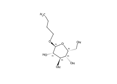 CCCCO[C@H]1O[C@H](CO)[C@H](O)[C@@H](O)[C@@H]1O